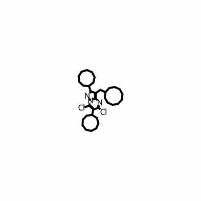 Clc1nc2c(CC3CCCCCCCCC3)c(C3CCCCCCCC3)nn2c(Cl)c1C1CCCCCCCC1